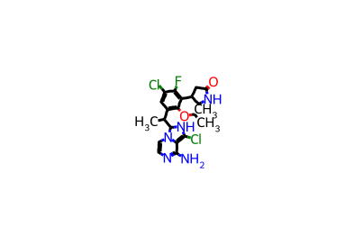 CC(C)Oc1c(C(C)C2NC(Cl)=C3C(N)=NC=CN32)cc(Cl)c(F)c1C1CNC(=O)C1